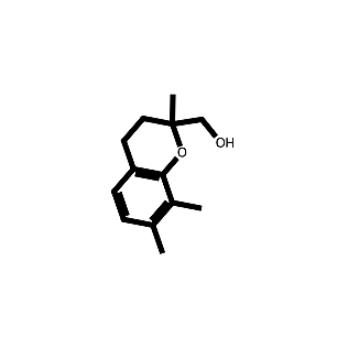 Cc1ccc2c(c1C)OC(C)(CO)CC2